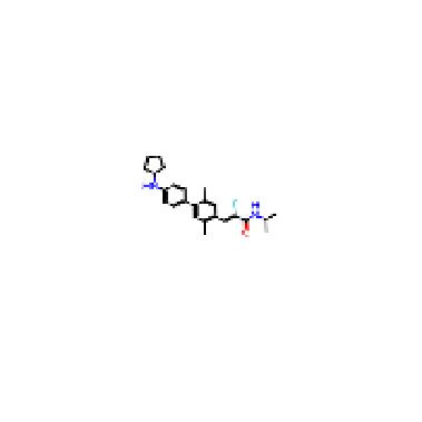 Cc1cc(-c2ccc(NC3CCCC3)cc2)c(C)cc1/C=C(\F)C(=O)NC(C)C